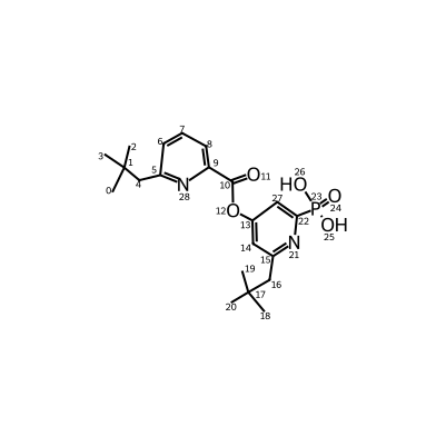 CC(C)(C)Cc1cccc(C(=O)Oc2cc(CC(C)(C)C)nc(P(=O)(O)O)c2)n1